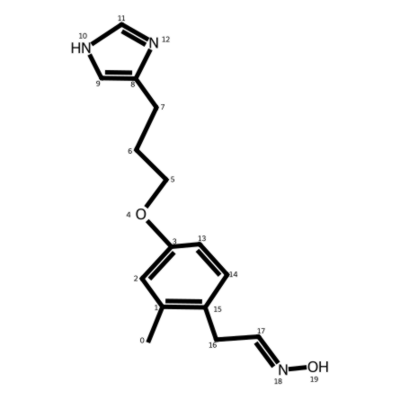 Cc1cc(OCCCc2c[nH]cn2)ccc1CC=NO